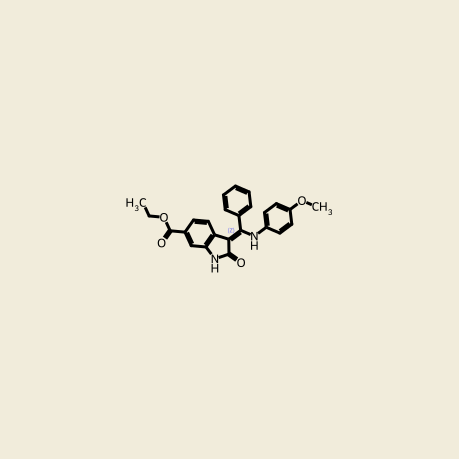 CCOC(=O)c1ccc2c(c1)NC(=O)/C2=C(\Nc1ccc(OC)cc1)c1ccccc1